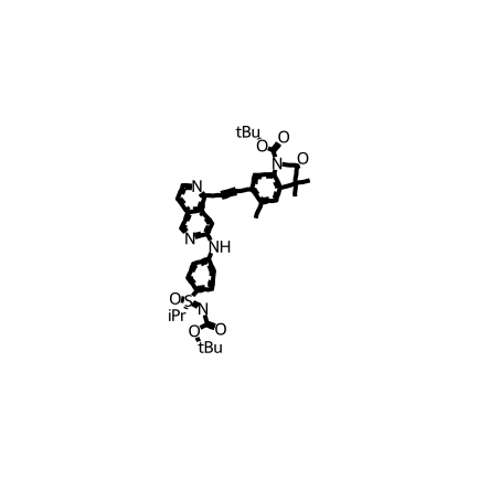 Cc1cc2c(cc1C#Cc1nccc3cnc(Nc4ccc(S(=O)(=NC(=O)OC(C)(C)C)C(C)C)cc4)cc13)N(C(=O)OC(C)(C)C)C(=O)C2(C)C